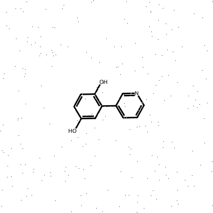 Oc1ccc(O)c(-c2cccnc2)c1